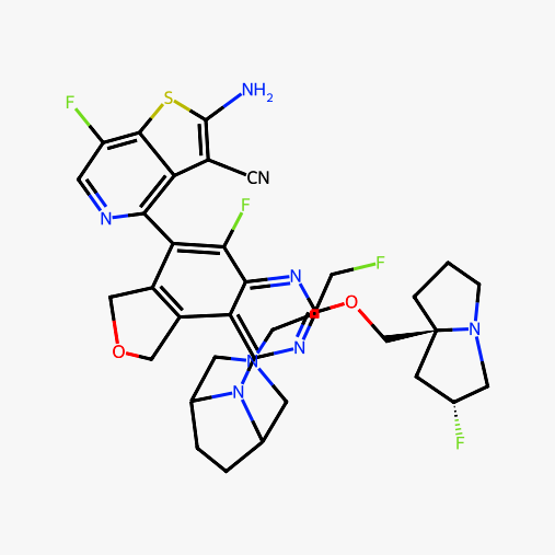 N#Cc1c(N)sc2c(F)cnc(-c3c4c(c5c(N6C7CCC6CN(CCCF)C7)nc(OC[C@@]67CCCN6C[C@H](F)C7)nc5c3F)COC4)c12